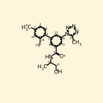 Cc1ccc(-c2cc(C(=O)NC(C)CO)cc(-n3nnnc3C)c2)c(F)c1